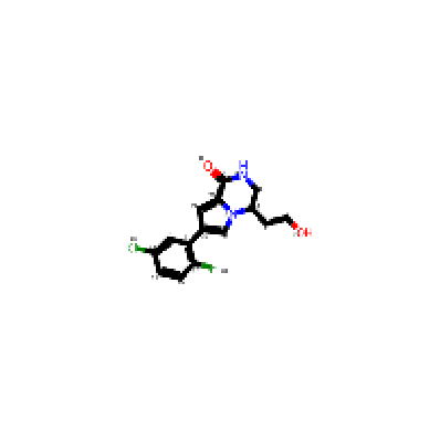 O=C1NCC(CCO)n2cc(-c3cc(Cl)ccc3F)cc21